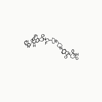 CC(C)Oc1cc2c(cc1NC(=O)c1cnn3cccnc13)CN(C[C@@H](F)C1CCN(CC3CCN(c4ccc5c(c4)CN(C4CCC(=O)NC4=O)C5=O)CC3)CC1)C2=O